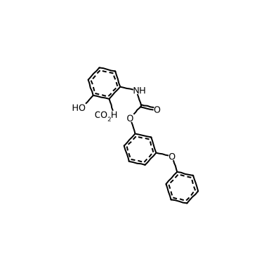 O=C(Nc1cccc(O)c1C(=O)O)Oc1cccc(Oc2ccccc2)c1